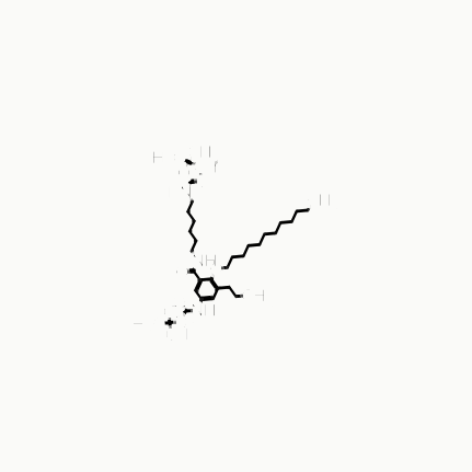 CCCCCCCCCCCCOc1c(CCC)cc(NC(=O)OC(C)(C)C)cc1C(=O)NCCCCCCNC(=O)OC(C)(C)C